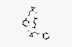 CN(OC(=O)/C=C/C(=O)ON(C)C1(CCOc2cccnc2)CC1)C1(CCOc2cccnc2)CC1